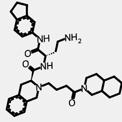 NCC[C@H](NC(=O)[C@@H]1Cc2ccccc2CN1CCCC(=O)N1CCC2CCCCC2C1)C(=O)Nc1ccc2c(c1)CCC2